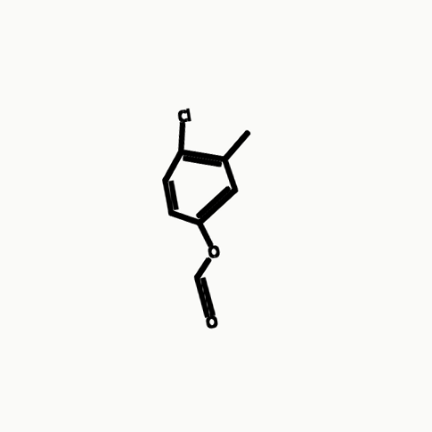 Cc1cc(OC=O)ccc1Cl